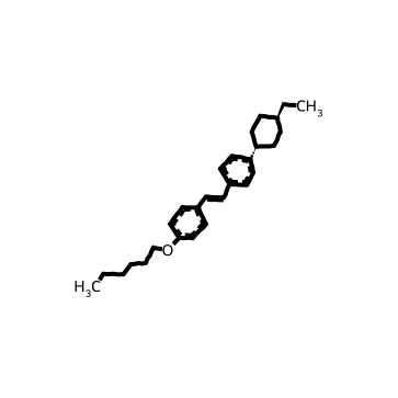 CCCCCCOc1ccc(/C=C/c2ccc([C@H]3CC[C@H](CC)CC3)cc2)cc1